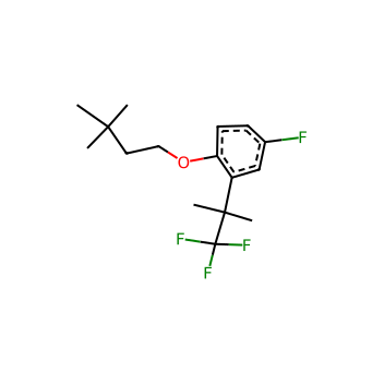 CC(C)(C)CCOc1ccc(F)cc1C(C)(C)C(F)(F)F